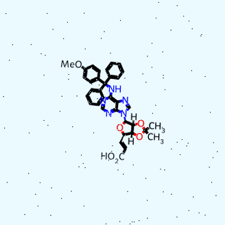 COc1ccc(C(Nc2ncnc3c2ncn3[C@@H]2O[C@H](/C=C/C(=O)O)[C@H]3OC(C)(C)O[C@H]32)(c2ccccc2)c2ccccc2)cc1